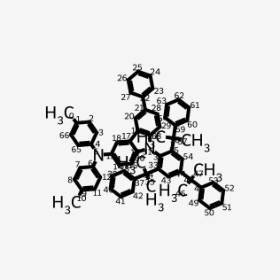 Cc1ccc(N(c2ccc(C)cc2)c2ccc3c(c2)c2cc(-c4ccccc4)ccc2n3-c2c(C(C)(C)c3ccccc3)cc(C(C)(C)c3ccccc3)cc2C(C)(C)c2ccccc2)cc1